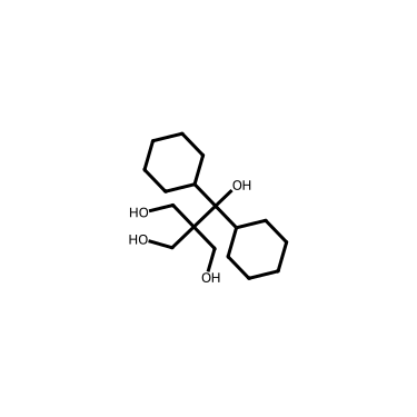 OCC(CO)(CO)C(O)(C1CCCCC1)C1CCCCC1